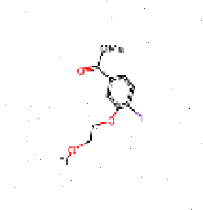 CCOCCOc1cc(C(=O)OC)ccc1I